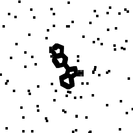 C1=Nc2ccc(-c3c[nH]c4ccccc34)cc2C1